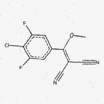 COC(=C(C#N)C#N)c1cc(F)c(Cl)c(F)c1